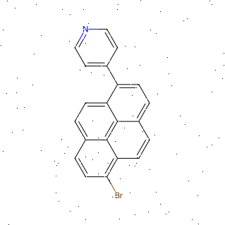 Brc1ccc2ccc3c(-c4ccncc4)ccc4ccc1c2c43